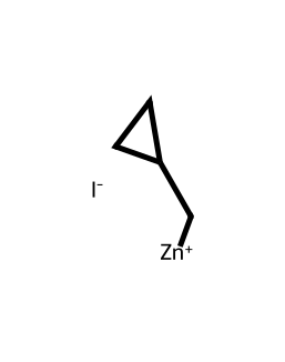 [I-].[Zn+][CH2]C1CC1